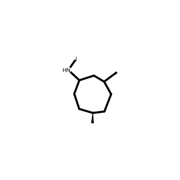 CC1CC[C@@H](C)CCC(NI)C1